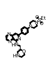 CCS(=O)(=O)N1CCN(c2ccc(-c3cc4nccnc4c(NC[C@@H]4CNCCO4)n3)cc2)CC1